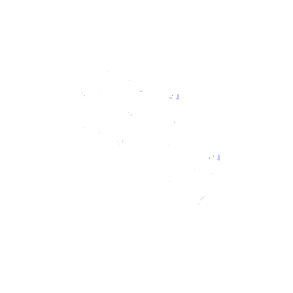 CCC(N)(CCCc1c[nH]c2ccc(F)cc12)[C@H]1COc2cccc(OC)c2C1